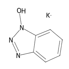 On1nnc2ccccc21.[K]